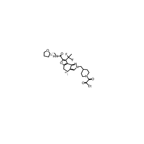 CCC(=O)C(=O)N1CCC(Cn2cc3c(n2)-c2c(oc(C(=O)NC[C@@H]4CCCO4)c2C(C)(F)F)C[C@H]3C)CC1